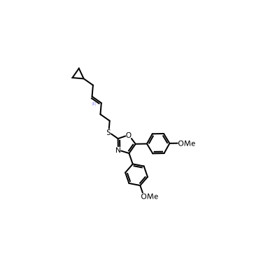 COc1ccc(-c2nc(SCC/C=C/CC3CC3)oc2-c2ccc(OC)cc2)cc1